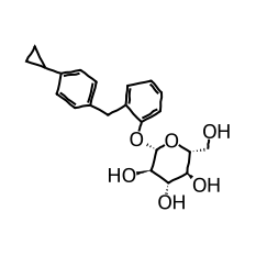 OC[C@H]1O[C@@H](Oc2ccccc2Cc2ccc(C3CC3)cc2)[C@H](O)[C@@H](O)[C@@H]1O